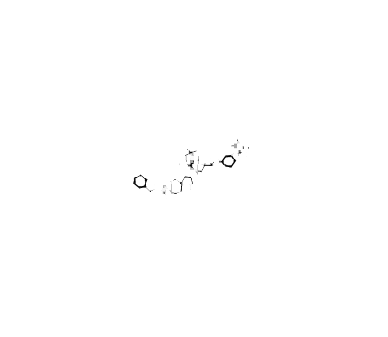 CNS(=O)(=O)c1cccc(OC[C@@H](O)CN(C(=O)OC(C)(C)C)[C@H]2COC3(CCN(C(=O)OCc4ccccc4)CC3)C2)c1